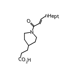 CCCCCCCC=CC(=O)N1CCC(CCC(=O)O)CC1